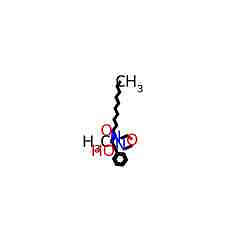 CCCCCCCCCC(=O)N=C(C)C(O)(c1ccccc1)N1CCOCC1